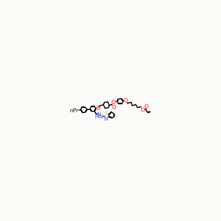 C=CC(=O)OCCCCCCOc1ccc(OC(=O)C2CCC(COc3ccc(-c4ccc(CCC)cc4)cc3/C=N/Nc3nc4ccccc4s3)CC2)cc1